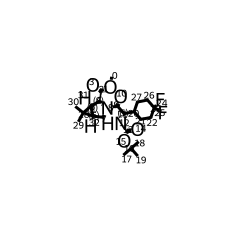 COC(=O)[C@@H]1[C@@H]2[C@H](CN1C(=O)[C@@H](NC(=O)OC(C)(C)C)C1CCC(F)(F)CC1)C2(C)C